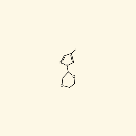 Ic1cnn(C2COCCO2)c1